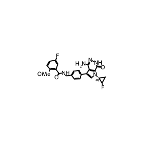 COc1ccc(F)cc1C(=O)NCc1ccc(-c2cn([C@@H]3CC3F)c3c(=O)[nH]nc(N)c23)cc1